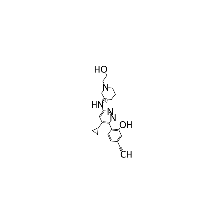 C#Cc1ccc(-c2nnc(N[C@@H]3CCCN(CCO)C3)cc2C2CC2)c(O)c1